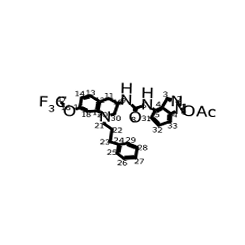 CC(=O)On1ncc2c(NC(=O)NC3Cc4ccc(OC(F)(F)F)cc4N(CCCc4ccccc4)C3)cccc21